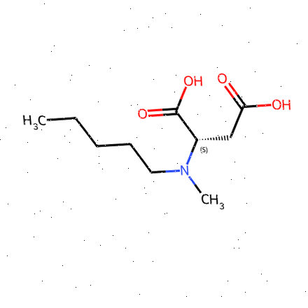 CCCCCN(C)[C@@H](CC(=O)O)C(=O)O